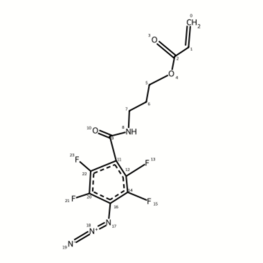 C=CC(=O)OCCCNC(=O)c1c(F)c(F)c(N=[N+]=[N-])c(F)c1F